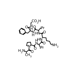 CC(N)C(=O)N1CCCC1C(=O)NC(C(=O)NC(CCCCN)C(=O)NC(C(=O)NC(Cc1ccccc1)C(=O)NCC(=O)O)C(C)C)C(C)C